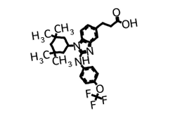 CC1(C)CC(n2c(Nc3ccc(OC(F)(F)F)cc3)nc3cc(CCC(=O)O)ccc32)CC(C)(C)C1